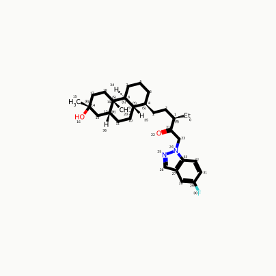 CC[C@H](CC[C@@H]1CCC[C@H]2[C@H]1CC[C@@H]1C[C@](C)(O)CC[C@@]12C)C(=O)Cn1ncc2cc(F)ccc21